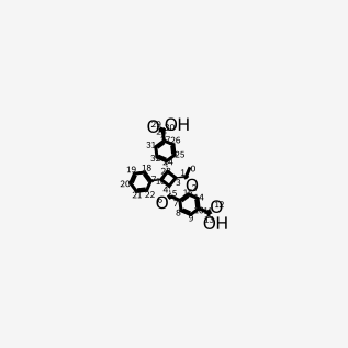 CC(=O)[C@H]1[C@H](C(=O)c2ccc(C(=O)O)cc2)[C@@H](c2ccccc2)[C@@H]1c1ccc(C(=O)O)cc1